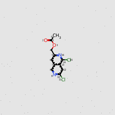 CC(=O)OCc1cc2cnc(Cl)cc2c(Cl)n1